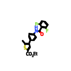 CCOC(=O)c1cc(-c2ccc(NC(=O)c3c(F)cccc3F)cc2)c(C)s1